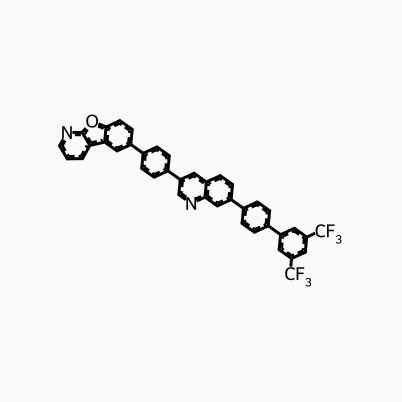 FC(F)(F)c1cc(-c2ccc(-c3ccc4cc(-c5ccc(-c6ccc7oc8ncccc8c7c6)cc5)cnc4c3)cc2)cc(C(F)(F)F)c1